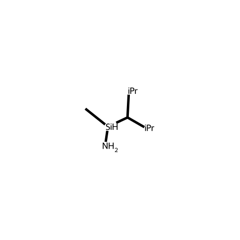 CC(C)C(C(C)C)[SiH](C)N